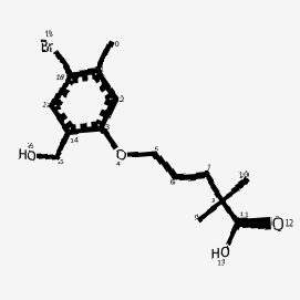 Cc1cc(OCCCC(C)(C)C(=O)O)c(CO)cc1Br